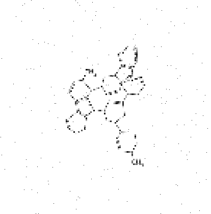 CC1C=CC(C2CC(C3CC=CCC3)=CC(n3c4c(c5c3C(C3C=CC6Nc7ccccc7C6C3)C(C)C=C5)C=CCC4)C2)=CC1